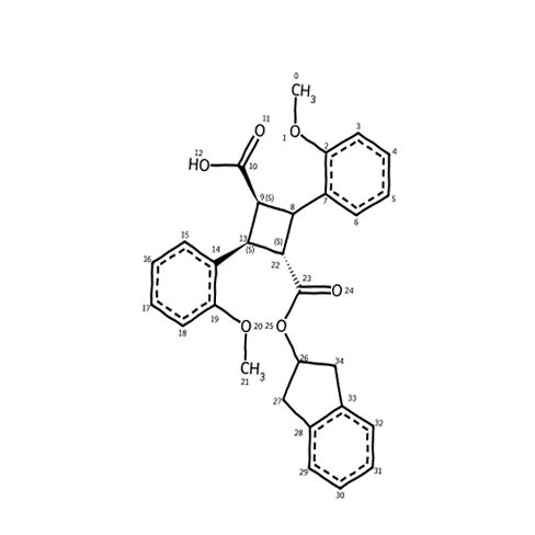 COc1ccccc1C1[C@H](C(=O)O)[C@H](c2ccccc2OC)[C@H]1C(=O)OC1Cc2ccccc2C1